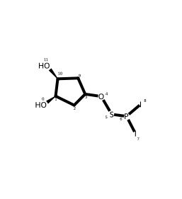 O[C@@H]1CC(OSP(I)I)C[C@@H]1O